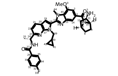 COc1cc(C(=O)N2[C@H]3CC[C@@H]2[C@H](N)C3)cc2nc(-c3cc4ccc([C@@H](C)NC(=O)c5ccc(F)cc5)nc4n3CC3CC3)n(C)c12